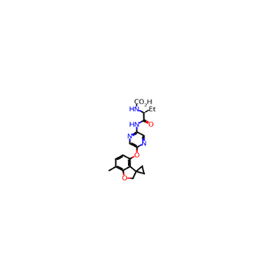 CC[C@H](NC(=O)O)C(=O)Nc1cnc(Oc2ccc(C)c3c2C2(CC2)CO3)cn1